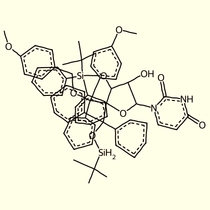 COc1ccc(COC(c2ccccc2)(c2ccc(OC)cc2)C2(C(O[SiH2]C(C)(C)C)(c3ccccc3)c3ccccc3)OC(n3ccc(=O)[nH]c3=O)C(O)C2O[Si](c2ccccc2)(c2ccccc2)C(C)(C)C)cc1